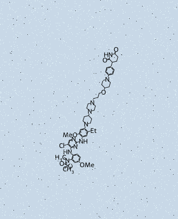 CCc1cc(Nc2ncc(Cl)c(Nc3ccc(OC)cc3N(C)S(C)(=O)=O)n2)c(OC)cc1N1CCC(N2CCN(CCCOC3CCN(c4ccc(C5CCC(=O)NC5=O)cc4)CC3)CC2)CC1